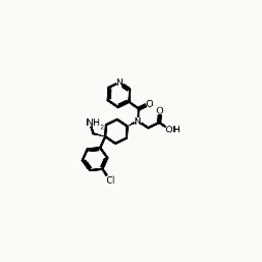 NC[C@]1(c2cccc(Cl)c2)CC[C@H](N(CC(=O)O)C(=O)c2cccnc2)CC1